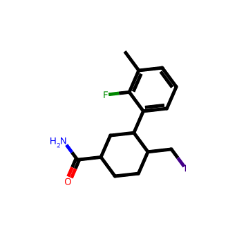 Cc1cccc(C2CC(C(N)=O)CCC2CI)c1F